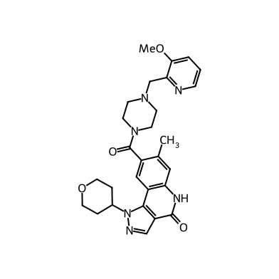 COc1cccnc1CN1CCN(C(=O)c2cc3c(cc2C)[nH]c(=O)c2cnn(C4CCOCC4)c23)CC1